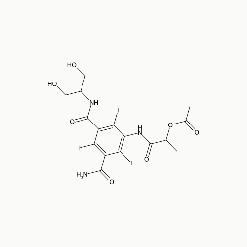 CC(=O)OC(C)C(=O)Nc1c(I)c(C(N)=O)c(I)c(C(=O)NC(CO)CO)c1I